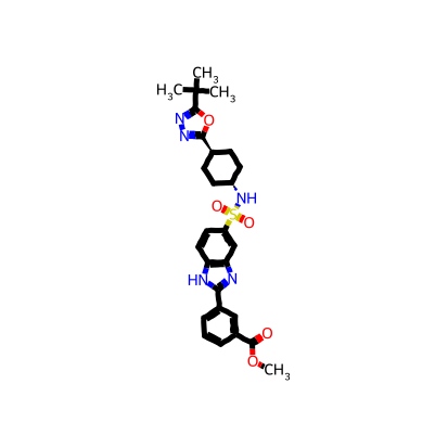 COC(=O)c1cccc(-c2nc3cc(S(=O)(=O)N[C@H]4CC[C@H](c5nnc(C(C)(C)C)o5)CC4)ccc3[nH]2)c1